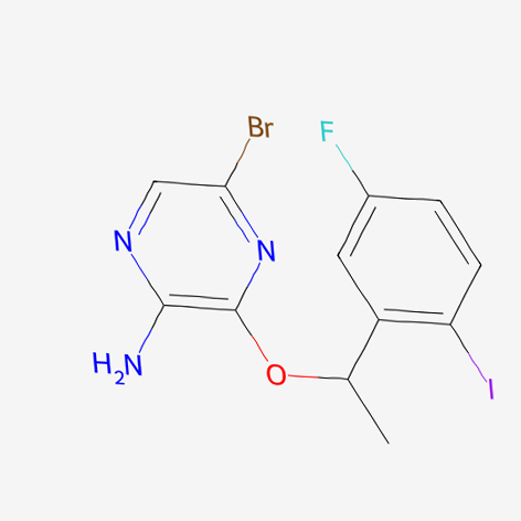 CC(Oc1nc(Br)cnc1N)c1cc(F)ccc1I